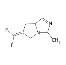 CC1N=CC2CC(=C(F)F)CN21